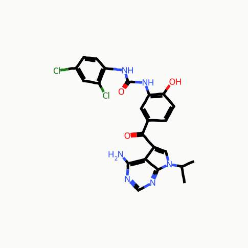 CC(C)n1cc(C(=O)c2ccc(O)c(NC(=O)Nc3ccc(Cl)cc3Cl)c2)c2c(N)ncnc21